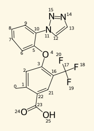 Cc1cc(Oc2ccccc2-n2ccnn2)c(C(F)(F)F)cc1C(=O)O